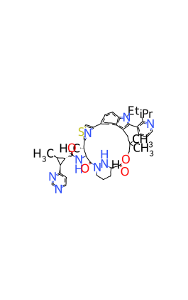 CCn1c(-c2cccnc2C(C)C)c2c3cc(ccc31)-c1csc(n1)[C@@H](C)[C@H](NC(=O)[C@H]1[C@H](C)[C@@H]1c1ccncn1)C(=O)N1CCC[C@H](N1)C(=O)OCC(C)(C)C2